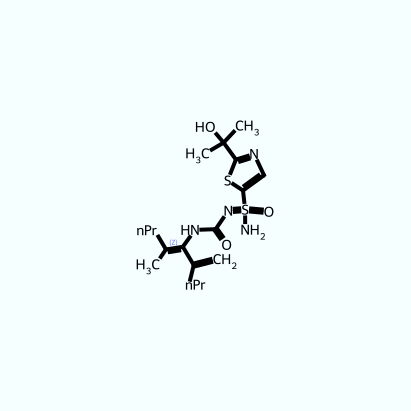 C=C(CCC)/C(NC(=O)N=S(N)(=O)c1cnc(C(C)(C)O)s1)=C(\C)CCC